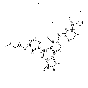 CCCOCc1ccnc(NCc2c(-c3ccc(O[C@H]4CCC[C@H](C(=O)O)C4)c(C)n3)nnn2C)n1